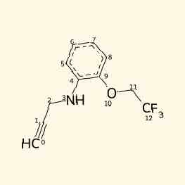 C#CCNc1ccccc1OCC(F)(F)F